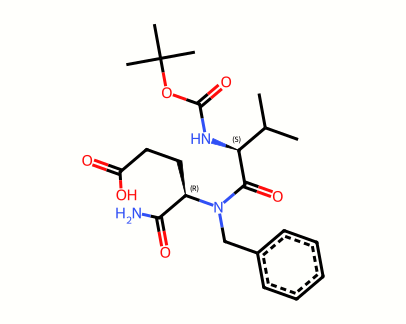 CC(C)[C@H](NC(=O)OC(C)(C)C)C(=O)N(Cc1ccccc1)[C@H](CCC(=O)O)C(N)=O